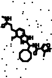 CNC(=O)CCc1ccc2[nH]c(C(NC(=O)c3conc3C)C3CCCCCCC3)nc2c1F